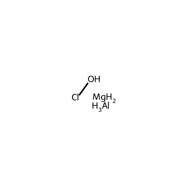 OCl.[AlH3].[MgH2]